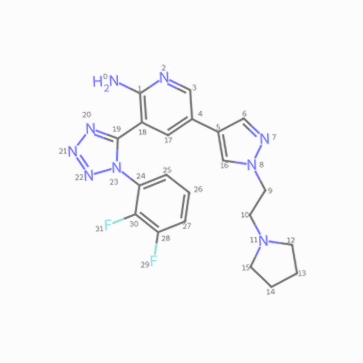 Nc1ncc(-c2cnn(CCN3CCCC3)c2)cc1-c1nnnn1-c1cccc(F)c1F